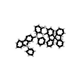 c1ccc(N(c2ccc3c4ccccc4n(-c4ccccc4)c3c2)c2cccc3c2Oc2c(ccc4c2-c2ccccc2C42c4ccccc4-c4ccccc42)O3)cc1